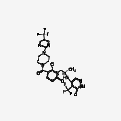 C[C@@H](Cn1c(Cl)c(C(=O)N2CCN(c3ncc(C(F)(F)F)cn3)CC2)ccc1=O)Nc1cn[nH]c(=O)c1C(F)(F)F